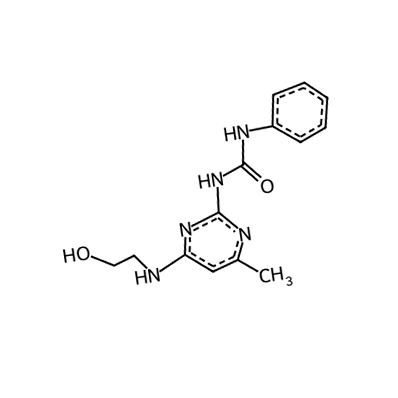 Cc1cc(NCCO)nc(NC(=O)Nc2ccccc2)n1